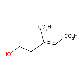 O=C(O)/C=C(/CCO)C(=O)O